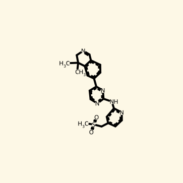 CC1(C)CN=Cc2ccc(-c3ccnc(Nc4cc(CS(C)(=O)=O)ccn4)n3)cc21